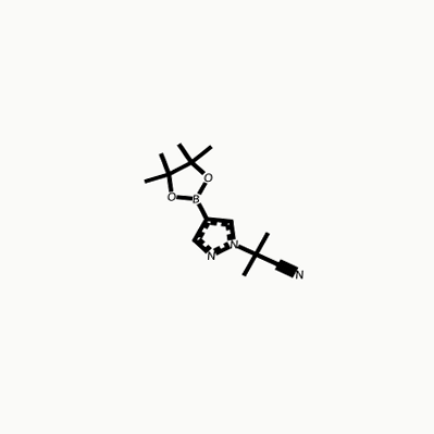 CC(C)(C#N)n1cc(B2OC(C)(C)C(C)(C)O2)cn1